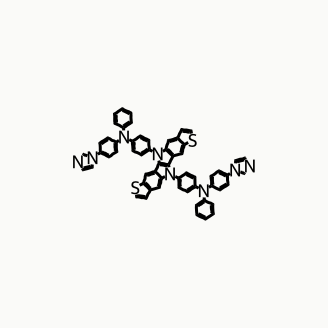 c1ccc(N(c2ccc(-n3ccnc3)cc2)c2ccc(-n3c4cc5ccsc5cc4c4c3c3cc5sccc5cc3n4-c3ccc(N(c4ccccc4)c4ccc(-n5ccnc5)cc4)cc3)cc2)cc1